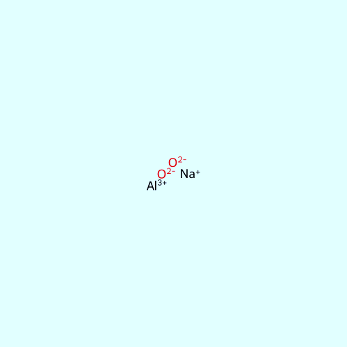 [Al+3].[Na+].[O-2].[O-2]